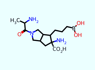 CC(N)C(=O)N1CC2CC(N)(C(=O)O)C(CCCB(O)O)C2C1